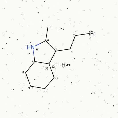 CC(C)CCC1C(C)NC2CCCC[C@@H]21